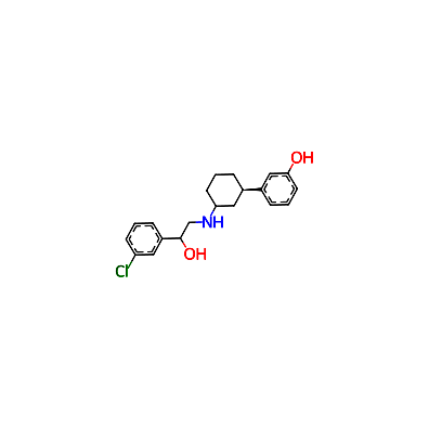 Oc1cccc([C@@H]2CCCC(NCC(O)c3cccc(Cl)c3)C2)c1